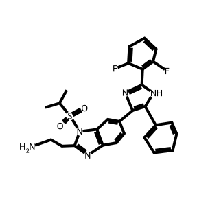 CC(C)S(=O)(=O)n1c(CCN)nc2ccc(-c3nc(-c4c(F)cccc4F)[nH]c3-c3ccccc3)cc21